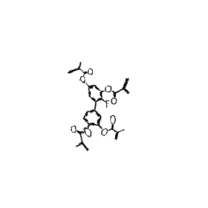 C=C(C)C(=O)Oc1cc(OC(=O)C(=C)C)c(F)c(-c2ccc(OC(=O)C(=C)C)c(OC(=O)C(=C)C)c2)c1